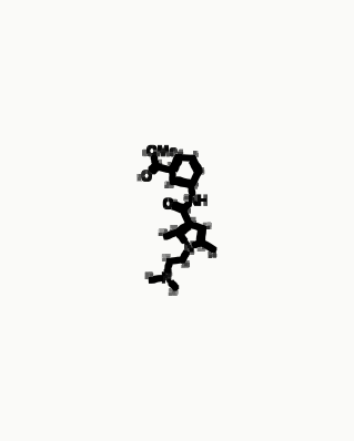 COC(=O)c1cccc(NC(=O)c2cc(C)n(CCN(C)C)c2C)c1